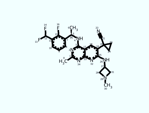 Cc1nc(N[C@H](C)c2cccc(C(F)F)c2F)c2cc(C3(C#N)CC3)c(NC3CN(C)C3)nc2n1